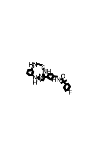 CC(C)(C(=O)NCc1ccc(-c2cnc3nc2NCCCNSc2cccc(c2)N3)cc1)c1ccc(F)cc1